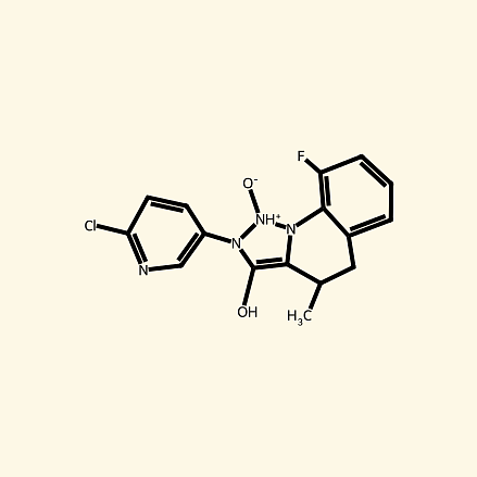 CC1Cc2cccc(F)c2N2C1=C(O)N(c1ccc(Cl)nc1)[NH+]2[O-]